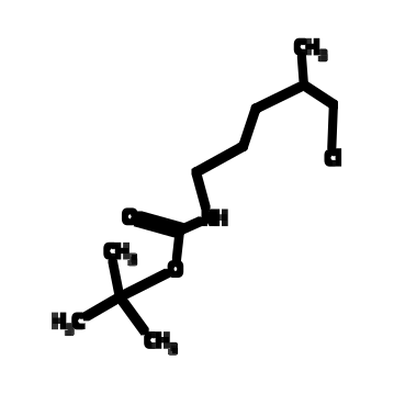 CC(CCl)CCCNC(=O)OC(C)(C)C